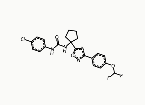 O=C(Nc1ccc(Cl)cc1)NC1(c2nc(-c3ccc(OC(F)F)cc3)no2)CCCC1